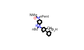 CCCCCN(C(=O)NC)c1ccc2c(c1)nc(CCCC)n2-c1ccc(-c2ccccc2C(=O)O)c(C)c1